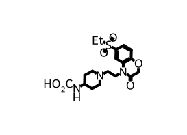 CCS(=O)(=O)c1ccc2c(c1)N(CCN1CCC(NC(=O)O)CC1)C(=O)CO2